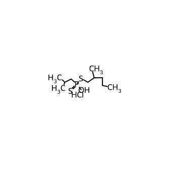 CCCC(C)CSP(O)(=S)CC(C)C.Cl